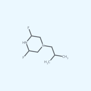 CC(C)CN1CC(F)NC(F)C1